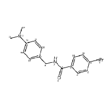 CC(C)c1ccc(C(=O)NCc2ccc(N(C)C)cc2)cc1